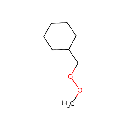 COOCC1CCCCC1